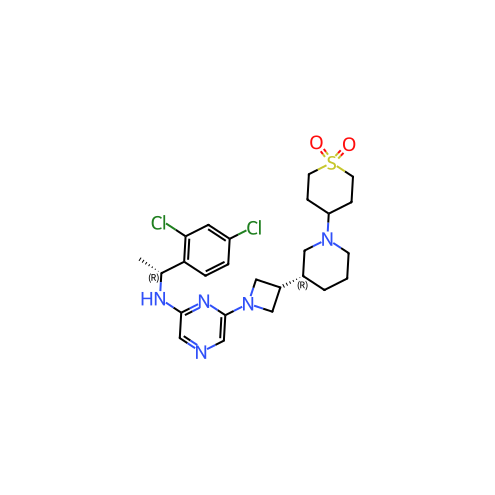 C[C@@H](Nc1cncc(N2CC([C@H]3CCCN(C4CCS(=O)(=O)CC4)C3)C2)n1)c1ccc(Cl)cc1Cl